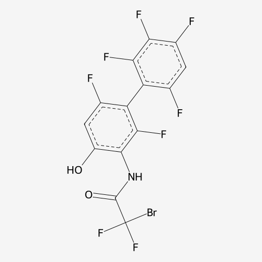 O=C(Nc1c(O)cc(F)c(-c2c(F)cc(F)c(F)c2F)c1F)C(F)(F)Br